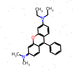 CCN(CC)c1ccc2c(-c3ccccc3)c3ccc(=[N+](C)C)cc-3oc2c1